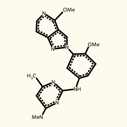 CNc1cc(C)nc(Nc2ccc(OC)c(-n3cc4c(OC)nccc4n3)c2)n1